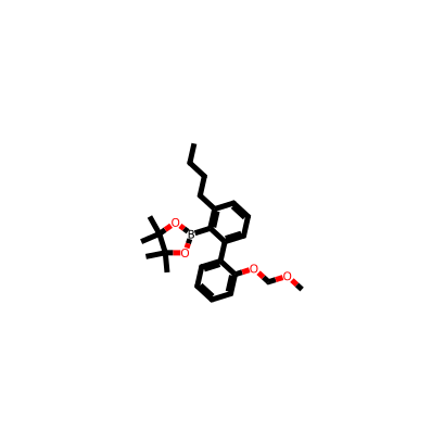 CCCCc1cccc(-c2ccccc2OCOC)c1B1OC(C)(C)C(C)(C)O1